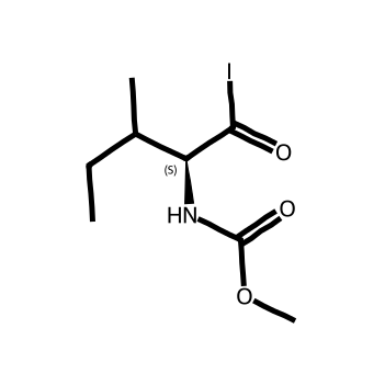 CCC(C)[C@H](NC(=O)OC)C(=O)I